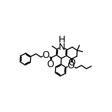 CCCCOc1ccccc1C1C(C(=O)OCCc2ccccc2)=C(C)NC2=C1C(=O)CC(C)(C)C2